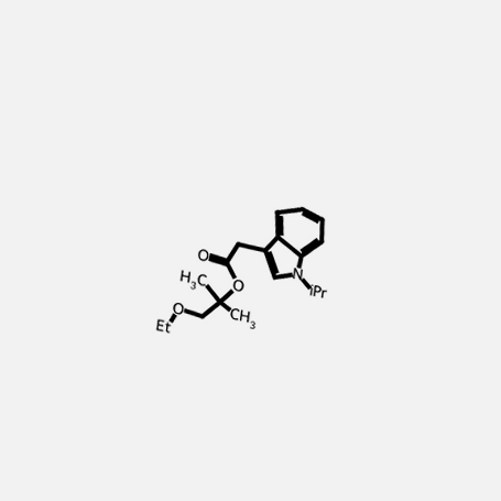 CCOCC(C)(C)OC(=O)Cc1cn(C(C)C)c2ccccc12